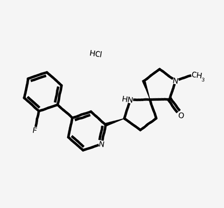 CN1CC[C@]2(CC[C@@H](c3cc(-c4ccccc4F)ccn3)N2)C1=O.Cl